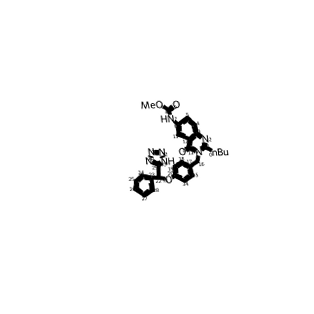 CCCCc1nc2ccc(NC(=O)OC)cc2c(=O)n1Cc1ccc(OC(c2ccccc2)c2nnn[nH]2)cc1